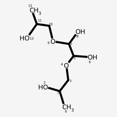 CC(O)COC(O)C(O)OCC(C)O